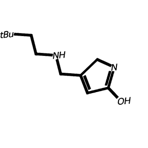 CC(C)(C)CCNCC1=CC(O)=NC1